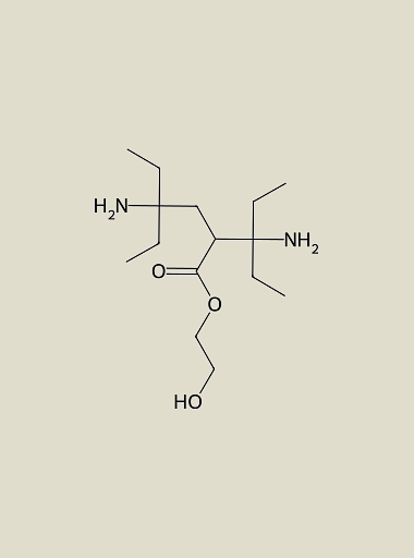 CCC(N)(CC)CC(C(=O)OCCO)C(N)(CC)CC